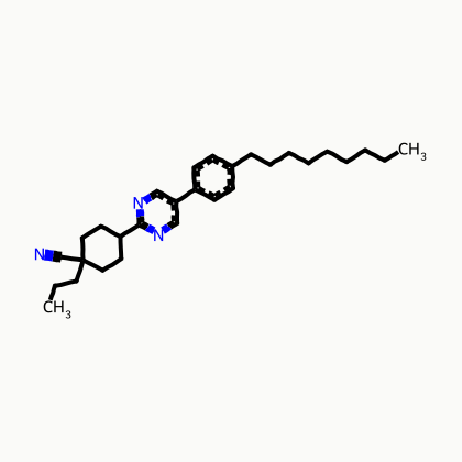 CCCCCCCCCc1ccc(-c2cnc(C3CCC(C#N)(CCC)CC3)nc2)cc1